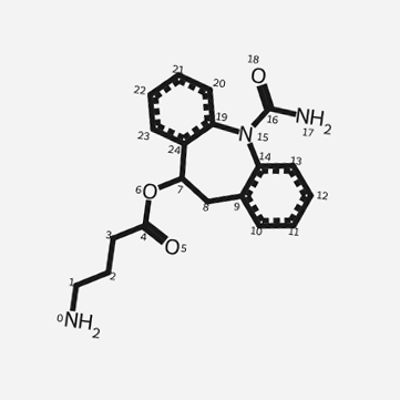 NCCCC(=O)OC1Cc2ccccc2N(C(N)=O)c2ccccc21